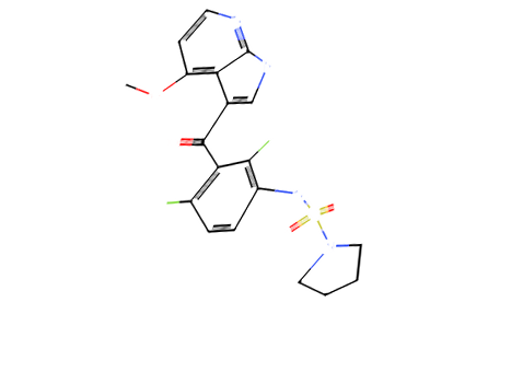 COc1ccnc2[nH]cc(C(=O)c3c(F)ccc(NS(=O)(=O)N4CCCC4)c3F)c12